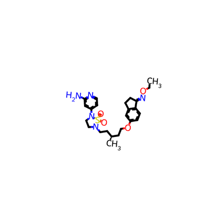 CCON=C1CCc2cc(OCC[C@@H](C)CCN3CCN(c4ccnc(N)c4)S3(=O)=O)ccc21